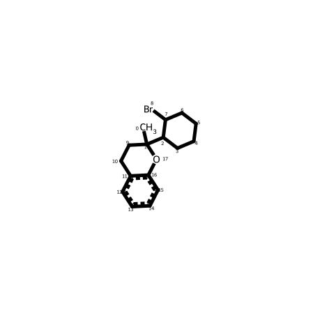 CC1(C2CCCCC2Br)CCc2ccccc2O1